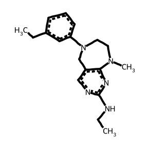 CCNc1ncc2c(n1)N(C)CCN(c1cccc(CC)c1)C2